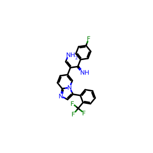 N=C(/C(=C\N)c1ccc2ncc(-c3ccccc3C(F)(F)F)n2c1)c1ccc(F)cc1